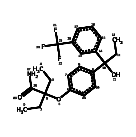 CCC(CC)(Oc1ccc(C(O)(CC)c2cccc(C(F)(F)F)c2)cc1)C(N)=O